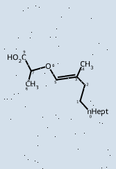 CCCCCCCCCC(C)=COC(C)C(=O)O